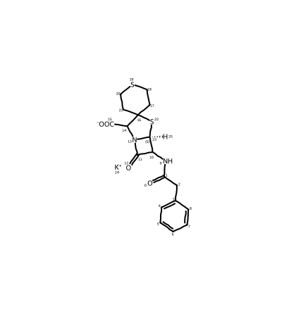 O=C(Cc1ccccc1)NC1C(=O)N2C(C(=O)[O-])C3(CCSCC3)S[C@@H]12.[K+]